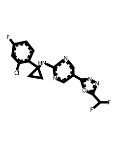 Fc1ccc(C2(Nc3ncc(-c4nnc(C(F)F)o4)cn3)CC2)c(Cl)c1